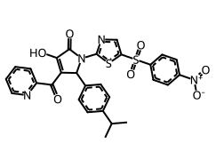 CC(C)c1ccc(C2C(C(=O)c3ccccn3)=C(O)C(=O)N2c2ncc(S(=O)(=O)c3ccc([N+](=O)[O-])cc3)s2)cc1